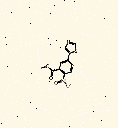 COC(=O)c1cc(-c2cncs2)ncc1[N+](=O)[O-]